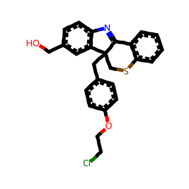 OCc1ccc2c(c1)C1(Cc3ccc(OCCCl)cc3)CSc3ccccc3C1=N2